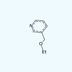 CCOCc1[c]nccc1